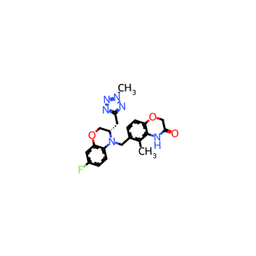 Cc1c(CN2c3ccc(F)cc3OC[C@@H]2Cc2nnn(C)n2)ccc2c1NC(=O)CO2